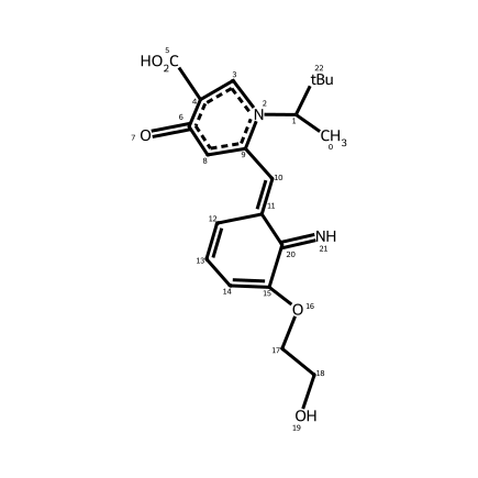 CC(n1cc(C(=O)O)c(=O)cc1/C=C1\C=CC=C(OCCO)C1=N)C(C)(C)C